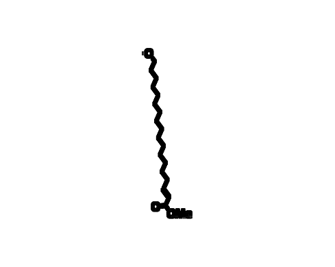 COC(=O)C=CCCCCCCCCCCCCCCC[O]